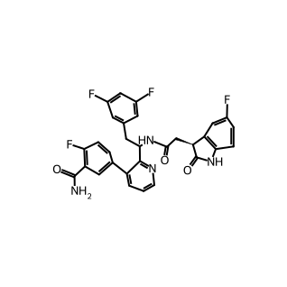 NC(=O)c1cc(-c2cccnc2C(Cc2cc(F)cc(F)c2)NC(=O)C[C@@H]2C(=O)Nc3ccc(F)cc32)ccc1F